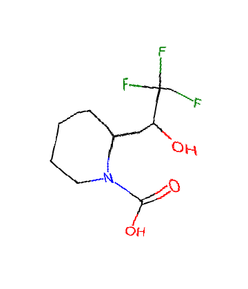 O=C(O)N1CCCCC1C(O)C(F)(F)F